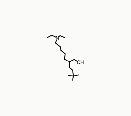 CCN(CC)CCCCC[C@@H](CO)CCC(C)(C)C